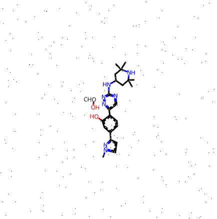 Cn1ccc(-c2ccc(-c3cnc(NC4CC(C)(C)NC(C)(C)C4)nn3)c(O)c2)n1.O=CO